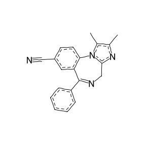 Cc1nc2n(c1C)-c1ccc(C#N)cc1C(c1ccccc1)=NC2